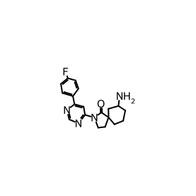 NC1CCCC2(CCN(c3cc(-c4ccc(F)cc4)ncn3)C2=O)C1